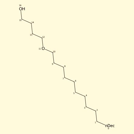 CCCCCCCCCCCCCCCCCCCCOCCCCO